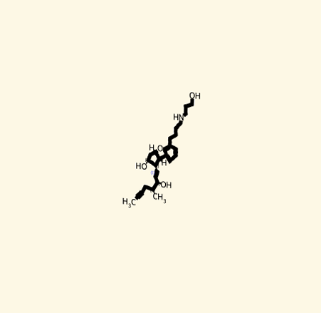 CC#CC[C@@H](C)[C@H](O)/C=C/[C@@H]1[C@H]2c3cccc(CCCCNCCCO)c3O[C@H]2C[C@H]1O